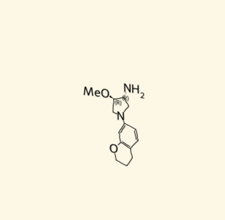 CO[C@@H]1CN(c2ccc3c(c2)OCCC3)C[C@H]1N